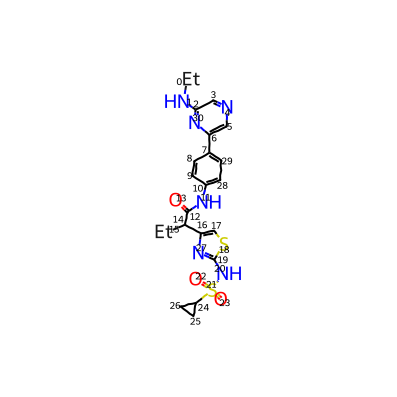 CCNc1cncc(-c2ccc(NC(=O)C(CC)c3csc(NS(=O)(=O)C4CC4)n3)cc2)n1